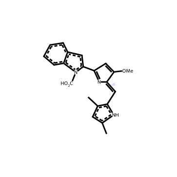 COC1=CC(c2cc3ccccc3n2C(=O)O)=N/C1=C\c1[nH]c(C)cc1C